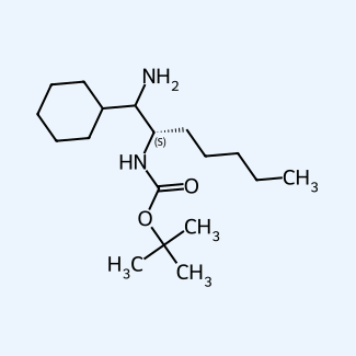 CCCCC[C@H](NC(=O)OC(C)(C)C)C(N)C1CCCCC1